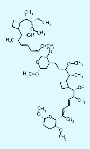 CC[C@H](OC)[C@@H](C)[C@H]1CC[C@@H]1[C@H](O)[C@@H](C)/C=C/C=C(\C)[C@H]1O[C@@H](OC)CC(CC[C@H](OC)[C@@H](C)[C@H]2CC[C@@H]2[C@H](O)[C@@H](C)/C=C/C=C(\C)[C@H]2O[C@@H](OC)CC[C@H]2OC)[C@@H]1OC